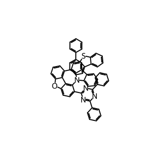 c1ccc(-c2ccc3c(c2)c2ccccc2n3-c2c(-c3nc(-c4ccccc4)nc(-c4ccccc4)n3)ccc3oc4cccc(-c5ccc6c(c5)sc5ccccc56)c4c23)cc1